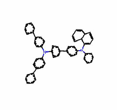 C1=CC2C=CC=C(N(c3ccccc3)c3ccc(-c4ccc(N(c5ccc(-c6ccccc6)cc5)c5ccc(-c6ccccc6)cc5)cc4)cc3)C2C=C1